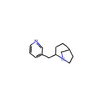 c1cncc(CC2CCC3CCN2C3)c1